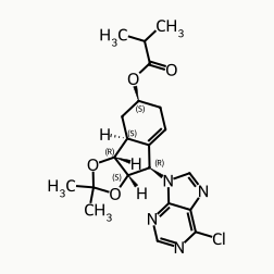 CC(C)C(=O)O[C@H]1CC=C2[C@@H](n3cnc4c(Cl)ncnc43)[C@@H]3OC(C)(C)O[C@@H]3[C@H]2C1